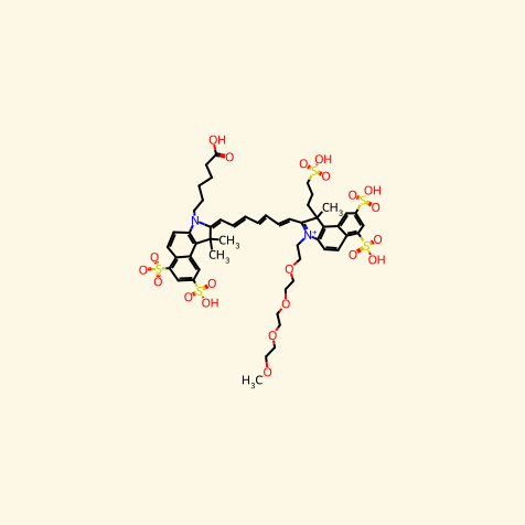 COCCOCCOCCOCC[N+]1=C(/C=C/C=C/C=C/C=C2/N(CCCCCC(=O)O)c3ccc4c(S(=O)(=O)[O-])cc(S(=O)(=O)O)cc4c3C2(C)C)C(C)(CCCS(=O)(=O)O)c2c1ccc1c(S(=O)(=O)O)cc(S(=O)(=O)O)cc21